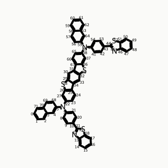 c1ccc2cc(N(c3ccc(-c4nc5ccccc5s4)cc3)c3ccc4c(c3)sc3cc5c(cc34)sc3cc(N(c4ccc(-c6nc7ccccc7s6)cc4)c4ccc6ccccc6c4)ccc35)ccc2c1